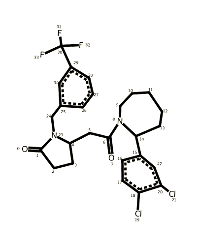 O=C1CCC(CC(=O)N2CCCCCC2c2ccc(Cl)c(Cl)c2)N1Cc1cccc(C(F)(F)F)c1